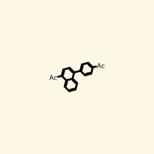 CC(=O)c1ccc(-c2ccc(C(C)=O)c3ccccc23)cc1